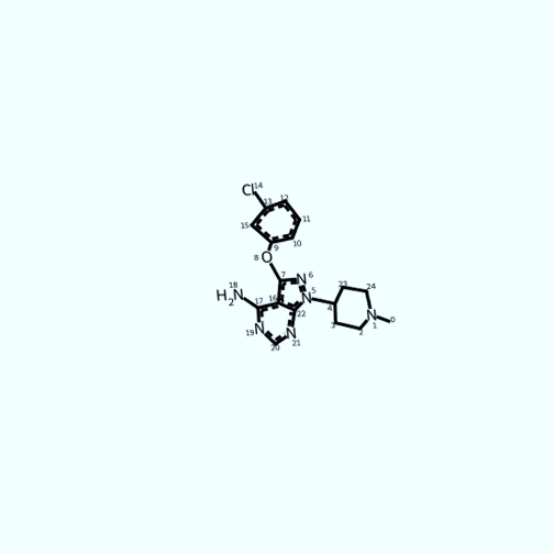 CN1CCC(n2nc(Oc3cccc(Cl)c3)c3c(N)ncnc32)CC1